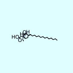 CCCCCCCCCCCCCC=C1CC[C@@](CC)(CC(=O)O)[C@H]2O[C@@H]12